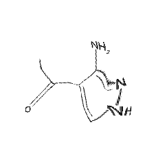 CC(=O)c1c[nH]nc1N